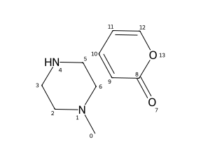 CN1CCNCC1.O=c1cccco1